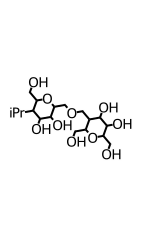 CC(C)C1C(CO)OC(COCC2C(CO)OC(CO)C(O)C2O)C(O)C1O